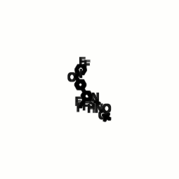 CC(C)(C)OC(=O)NCc1nc2cc(-c3ccc(C(=O)N4CCC(F)(F)CC4)cc3)cc(C(F)(F)F)c2s1